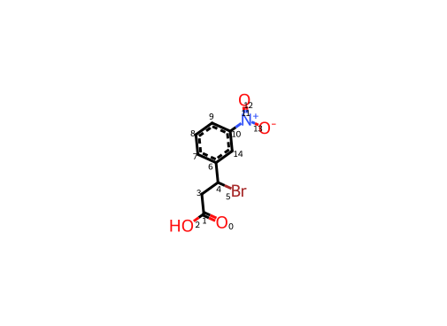 O=C(O)CC(Br)c1cccc([N+](=O)[O-])c1